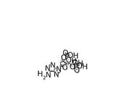 Nc1ncnc2c1ncn2[C@H]1C[C@H](OP(=O)(O)O)[C@@H](COP(=O)(O)O)O1